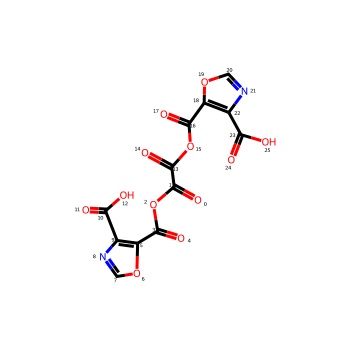 O=C(OC(=O)c1ocnc1C(=O)O)C(=O)OC(=O)c1ocnc1C(=O)O